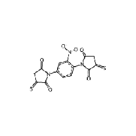 O=C1CC(=S)C(=O)N1c1ccc(N2C(=O)CC(=S)C2=O)c([N+](=O)[O-])c1